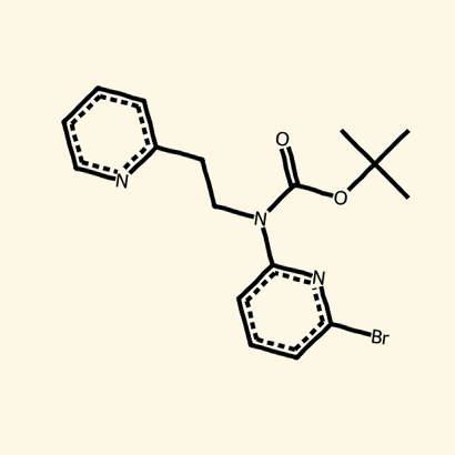 CC(C)(C)OC(=O)N(CCc1ccccn1)c1cccc(Br)n1